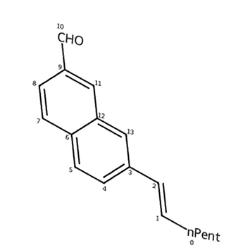 CCCCCC=Cc1ccc2ccc(C=O)cc2c1